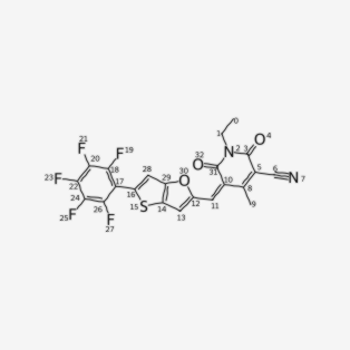 CCN1C(=O)C(C#N)=C(C)/C(=C/c2cc3sc(-c4c(F)c(F)c(F)c(F)c4F)cc3o2)C1=O